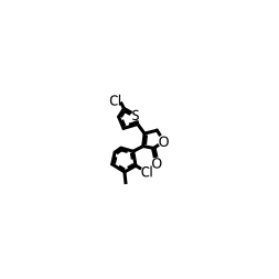 Cc1cccc(C2=C(c3ccc(Cl)s3)COC2=O)c1Cl